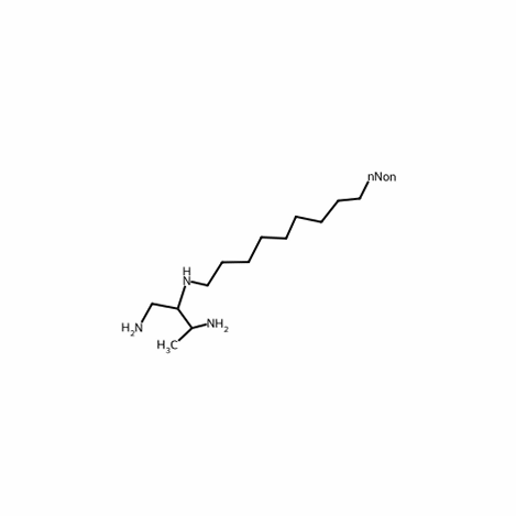 CCCCCCCCCCCCCCCCCCNC(CN)C(C)N